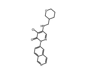 O=c1c(Cl)c(NCC2CCCOC2)cnn1-c1ccc2cnccc2c1